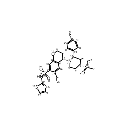 CS(=O)(=O)[C@@H]1CCN([C@H]2CCOc3cc(S(=O)(=O)Nc4nccs4)c(F)cc32)[C@H](c2ccc(F)cc2)C1